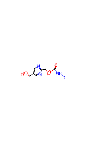 NC(=O)OCc1ncc(CO)cn1